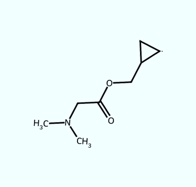 CN(C)CC(=O)OCC1[CH]C1